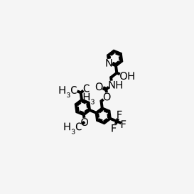 COc1ccc(C(C)C)cc1-c1ccc(C(F)(F)F)cc1COC(=O)NCC(O)c1ccccn1